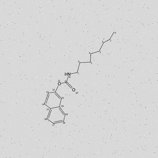 CCCCCCCCNC(=O)Oc1ccc2ccccc2c1